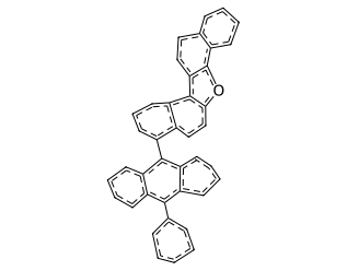 c1ccc(-c2c3ccccc3c(-c3cccc4c3ccc3oc5c6ccccc6ccc5c34)c3ccccc23)cc1